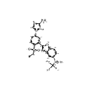 CCS(=O)(=O)c1ccc(-n2cnc(N)n2)nc1-c1nc2cc([S+]([O-])C(F)(F)F)ccc2o1